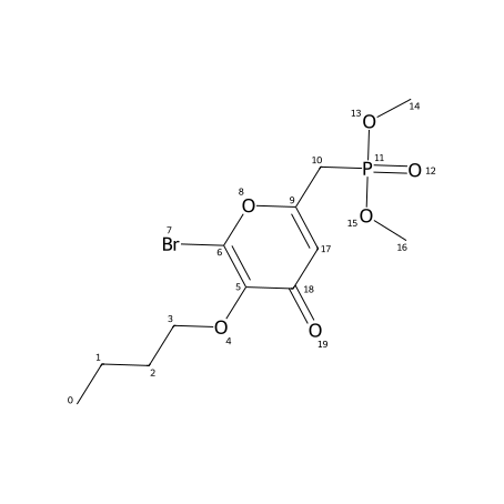 CCCCOc1c(Br)oc(CP(=O)(OC)OC)cc1=O